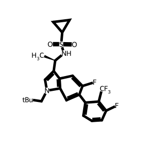 C[C@@H](NS(=O)(=O)C1CC1)c1cn(CC(C)(C)C)c2cc(-c3cccc(F)c3C(F)(F)F)c(F)cc12